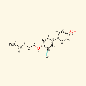 CCCC[C@H](C)CCCOc1ccc(-c2ccc(O)cc2)cc1F